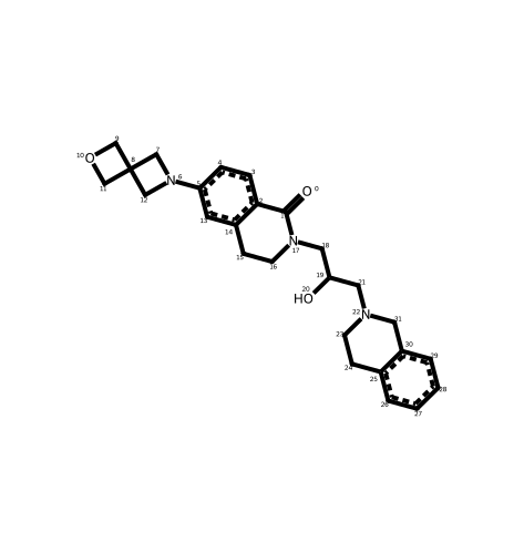 O=C1c2ccc(N3CC4(COC4)C3)cc2CCN1CC(O)CN1CCc2ccccc2C1